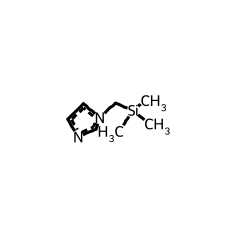 C[Si](C)(C)Cn1ccnc1